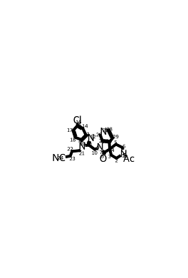 CC(=O)N1CCC2(CC1)C(=O)N(Cc1nc3cc(Cl)ccc3n1CCCC#N)c1cnccc12